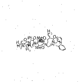 CC[C@H](C)[C@@H]([C@@H](CC(O)N1CCC[C@H]1[C@H](OC)[C@@H](C)C(=O)N[C@@H](Cc1ccccc1)c1nccs1)OC)N(C)C(=O)[C@@H](NC(=O)C(C)(C)N)C(C)C